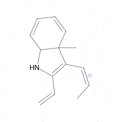 C=CC1=C(/C=C\C)C2(C)C=CC=CC2N1